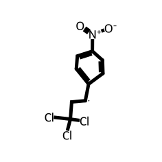 O=[N+]([O-])c1ccc([CH]CC(Cl)(Cl)Cl)cc1